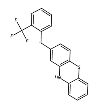 FC(F)(F)c1ccccc1[CH]c1ccc2c(c1)Nc1ccccc1S2